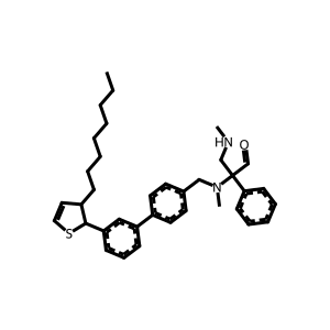 CCCCCCCCC1C=CSC1c1cccc(-c2ccc(CN(C)C(C=O)(CNC)c3ccccc3)cc2)c1